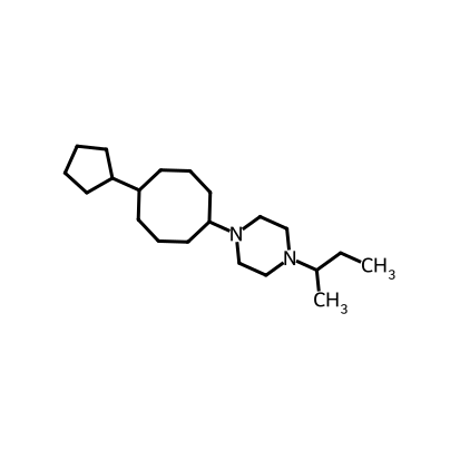 CCC(C)N1CCN(C2CCCC(C3CCCC3)CCC2)CC1